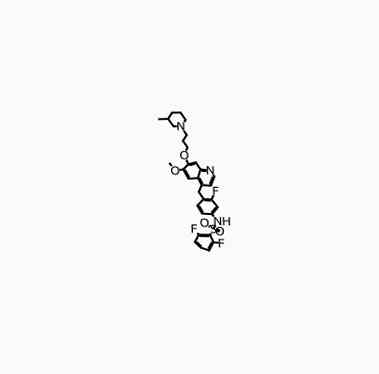 COc1cc2c(Cc3ccc(NS(=O)(=O)c4c(F)cccc4F)cc3F)ccnc2cc1OCCCN1CCCC(C)C1